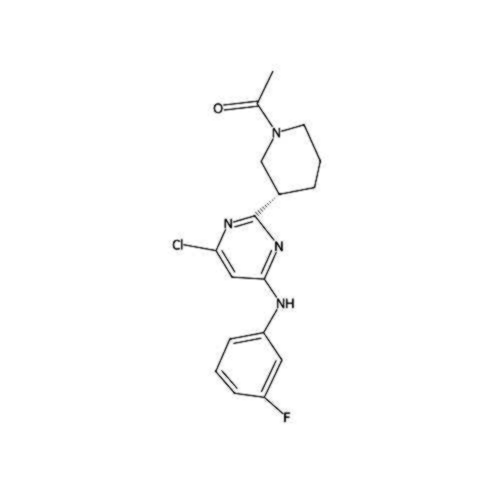 CC(=O)N1CCC[C@H](c2nc(Cl)cc(Nc3cccc(F)c3)n2)C1